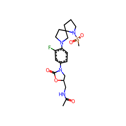 CC(=O)NCC1CN(c2ccc(N3CCC4(CCCN4S(C)(=O)=O)C3)c(F)c2)C(=O)O1